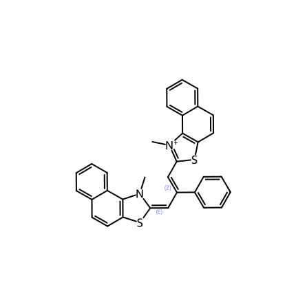 CN1/C(=C\C(=C\c2sc3ccc4ccccc4c3[n+]2C)c2ccccc2)Sc2ccc3ccccc3c21